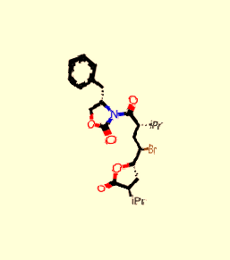 CC(C)[C@@H]1C[C@@H]([C@H](Br)C[C@H](C(=O)N2C(=O)OC[C@@H]2Cc2ccccc2)C(C)C)OC1=O